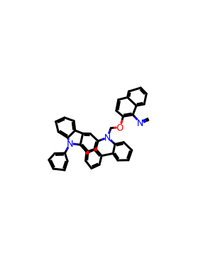 C=Nc1c(OCN(c2ccc3c(c2)c2ccccc2n3-c2ccccc2)c2ccccc2-c2ccccc2)ccc2ccccc12